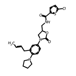 C/C=C/Cc1cc(N2CC(CNC(=O)c3ccc(Cl)s3)OC2=O)ccc1N1CCCC1